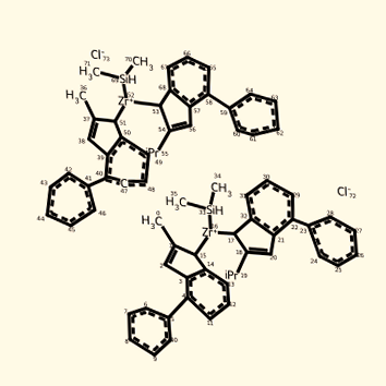 CC1=Cc2c(-c3ccccc3)cccc2[CH]1[Zr+]([CH]1C(C(C)C)=Cc2c(-c3ccccc3)cccc21)[SiH](C)C.CC1=Cc2c(-c3ccccc3)cccc2[CH]1[Zr+]([CH]1C(C(C)C)=Cc2c(-c3ccccc3)cccc21)[SiH](C)C.[Cl-].[Cl-]